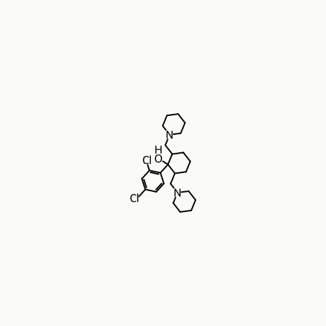 OC1(c2ccc(Cl)cc2Cl)C(CN2CCCCC2)CCCC1CN1CCCCC1